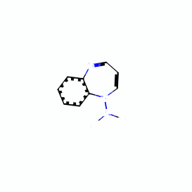 CN(C)N1C=CC=Nc2ccccc21